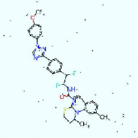 CCCc1ccc(C)cc1N1/C(=N/C(=O)NC(F)C(F)c2ccc(-c3ncn(-c4ccc(OC(F)(F)F)cc4)n3)cc2)SCCC1C